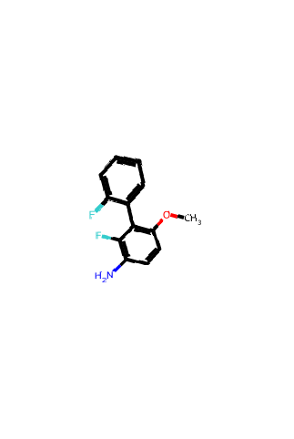 COc1ccc(N)c(F)c1-c1ccccc1F